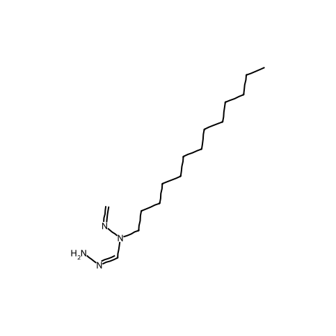 C=NN(/C=N\N)CCCCCCCCCCCCC